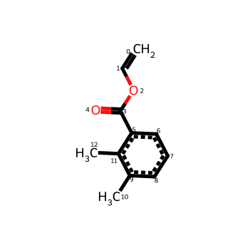 C=COC(=O)c1cccc(C)c1C